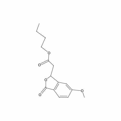 CCCCOC(=O)CC1OC(=O)c2ccc(OC)cc21